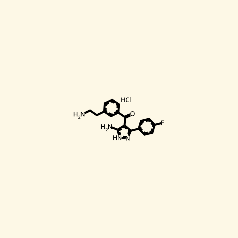 Cl.NCCc1cccc(C(=O)c2c(-c3ccc(F)cc3)n[nH]c2N)c1